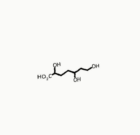 O=C(O)C(O)CCC(O)CCO